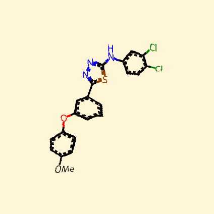 COc1ccc(Oc2cccc(-c3nnc(Nc4ccc(Cl)c(Cl)c4)s3)c2)cc1